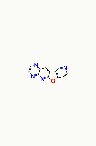 c1cc2oc3nc4nccnc4cc3c2cn1